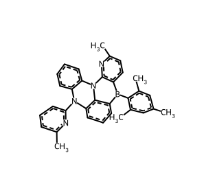 Cc1cc(C)c(B2c3ccc(C)nc3N3c4ccccc4N(c4cccc(C)n4)c4cccc2c43)c(C)c1